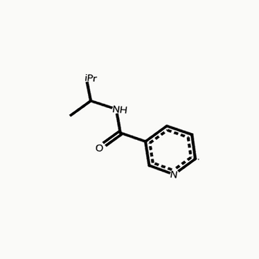 CC(C)C(C)NC(=O)c1cc[c]nc1